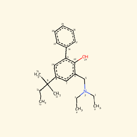 CCN(CC)Cc1cc(C(C)(C)CC)cc(-c2ccccc2)c1O